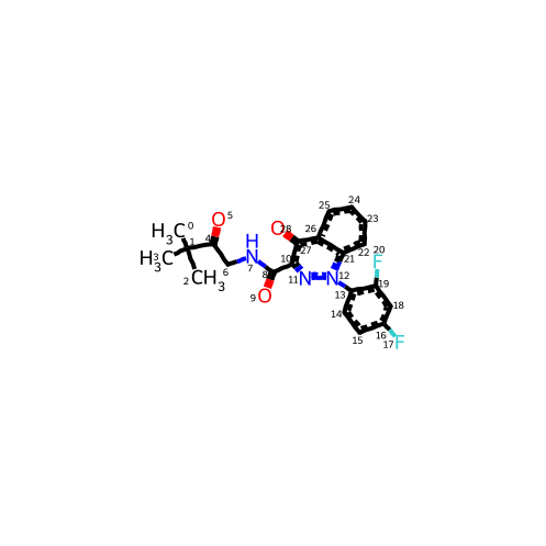 CC(C)(C)C(=O)CNC(=O)c1nn(-c2ccc(F)cc2F)c2ccccc2c1=O